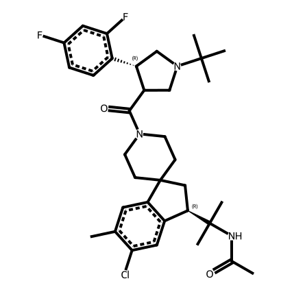 CC(=O)NC(C)(C)[C@@H]1CC2(CCN(C(=O)C3CN(C(C)(C)C)C[C@H]3c3ccc(F)cc3F)CC2)c2cc(C)c(Cl)cc21